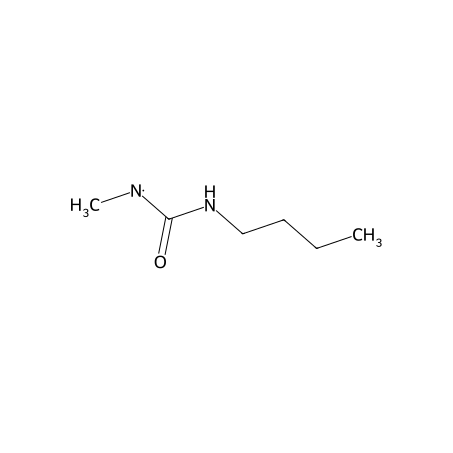 CCCCNC(=O)[N]C